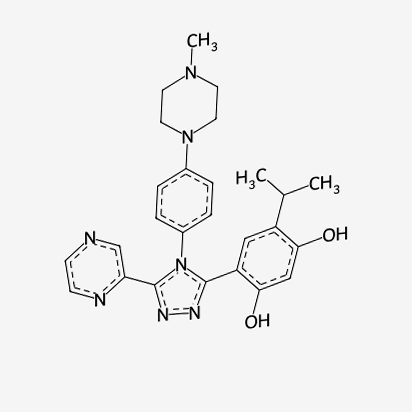 CC(C)c1cc(-c2nnc(-c3cnccn3)n2-c2ccc(N3CCN(C)CC3)cc2)c(O)cc1O